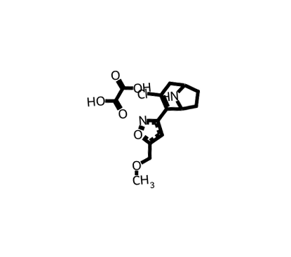 COCc1cc(C2=C(Cl)CC3CCC2N3)no1.O=C(O)C(=O)O